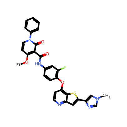 CCOc1ccn(-c2ccccc2)c(=O)c1C(=O)Nc1ccc(Oc2ccnc3cc(-c4cn(C)cn4)sc23)c(F)c1